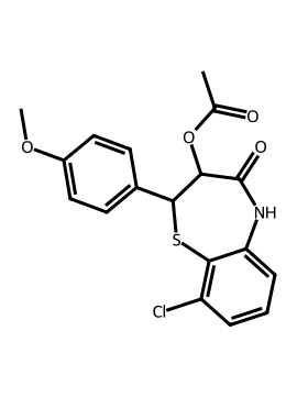 COc1ccc(C2Sc3c(Cl)cccc3NC(=O)C2OC(C)=O)cc1